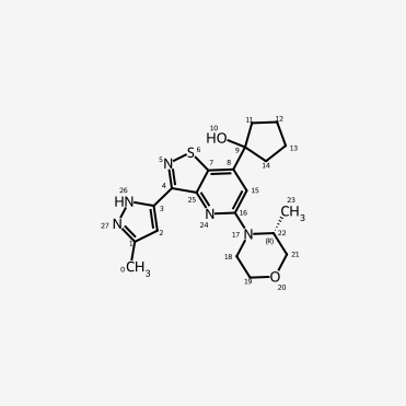 Cc1cc(-c2nsc3c(C4(O)CCCC4)cc(N4CCOC[C@H]4C)nc23)[nH]n1